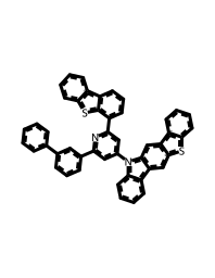 c1ccc(-c2cccc(-c3cc(-n4c5ccccc5c5cc6sc7ccccc7c6cc54)cc(-c4cccc5c4sc4ccccc45)n3)c2)cc1